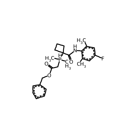 Cc1cc(F)cc(C)c1NC(=O)C1([PH](C)(C)CC(=O)OCc2ccccc2)CCC1